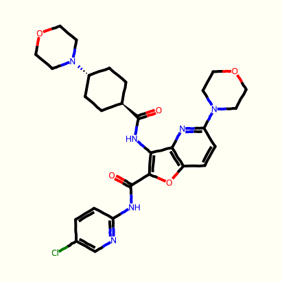 O=C(Nc1ccc(Cl)cn1)c1oc2ccc(N3CCOCC3)nc2c1NC(=O)[C@H]1CC[C@H](N2CCOCC2)CC1